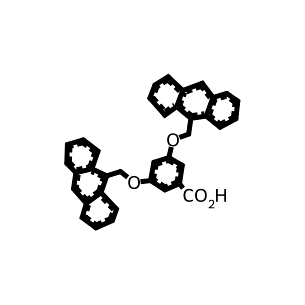 O=C(O)c1cc(OCc2c3ccccc3cc3ccccc23)cc(OCc2c3ccccc3cc3ccccc23)c1